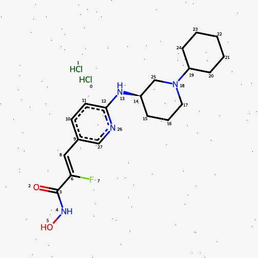 Cl.Cl.O=C(NO)/C(F)=C/c1ccc(N[C@@H]2CCCN(C3CCCCC3)C2)nc1